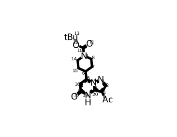 CC(=O)c1cnn2c(C3CCN(C(=O)OC(C)(C)C)CC3)cc(=O)[nH]c12